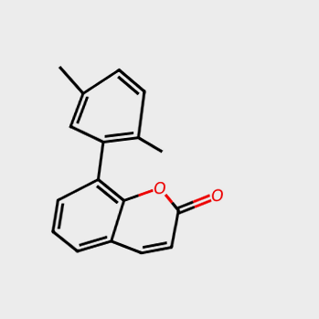 Cc1ccc(C)c(-c2cccc3ccc(=O)oc23)c1